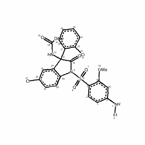 CCNc1ccc(S(=O)(=O)N2C(=O)C(NC(=O)OC)(c3ccccc3Cl)c3cc(Cl)ccc32)c(OC)c1